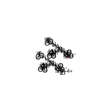 C=C(C)C(=O)OCCCCCCN(CCCn1cccc([O-])c1=O)CCCn1cccc([O-])c1=O.C=C(C)C(=O)OCCCCCCN(CCCn1cccc([O-])c1=O)CCCn1cccc([O-])c1=O.[Zr+4]